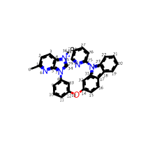 Cc1ccc2c(n1)n(-c1cccc(Oc3ccc4c5ccccc5n(-c5ccccn5)c4c3)c1)c[n+]2C(C)C